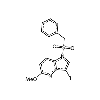 COc1ccc2c(n1)c(I)cn2S(=O)(=O)Cc1ccccc1